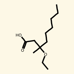 CCCCCCC(C)(CC(=O)O)OCC